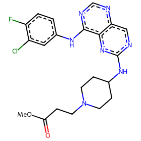 COC(=O)CCN1CCC(Nc2ncc3ncnc(Nc4ccc(F)c(Cl)c4)c3n2)CC1